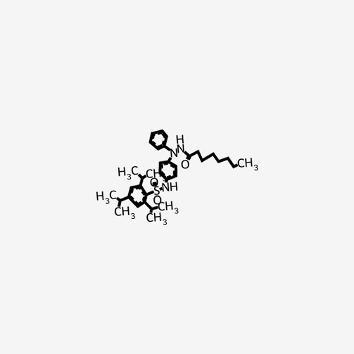 CCCCCCCC(=O)NN(c1ccccc1)c1ccc(NS(=O)(=O)c2c(C(C)C)cc(C(C)C)cc2C(C)C)cc1